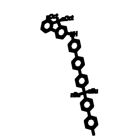 CCCCCCCCC1(CCCCCCCC)c2ccccc2-c2ccc(Nc3ccc(-c4ccc(-c5ccc(C(CCCC)(CCCC)c6ccc(-c7ccc(C)cc7)cc6)cc5)cc4)cc3)cc21